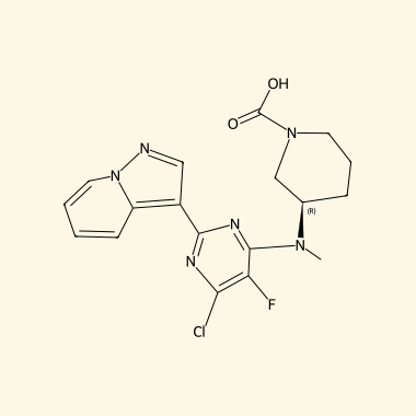 CN(c1nc(-c2cnn3ccccc23)nc(Cl)c1F)[C@@H]1CCCN(C(=O)O)C1